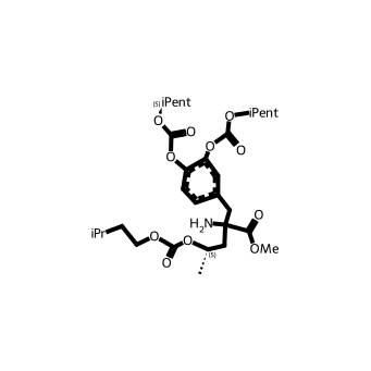 CCCC(C)OC(=O)Oc1cc(CC(N)(C[C@H](C)OC(=O)OCCC(C)C)C(=O)OC)ccc1OC(=O)O[C@@H](C)CCC